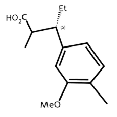 CC[C@H](c1ccc(C)c(OC)c1)C(C)C(=O)O